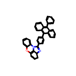 C1=CC2=C3C(C1)N=C(c1ccc(-c4c5ccccc5c(-c5ccccc5)c5ccccc45)cc1)N3c1ccccc1O2